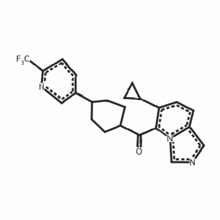 O=C(c1c(C2CC2)ccc2cncn12)C1CCC(c2ccc(C(F)(F)F)nc2)CC1